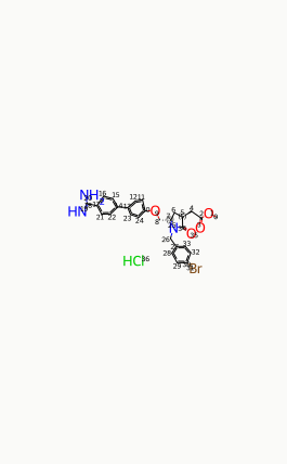 COC(=O)C[C@@H]1C[C@@H](COc2ccc(-c3ccc(C(=N)N)cc3)cc2)N(Cc2ccc(Br)cc2)C1=O.Cl